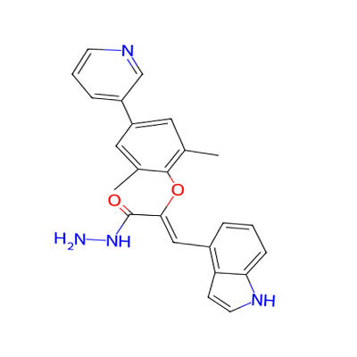 Cc1cc(-c2cccnc2)cc(C)c1O/C(=C\c1cccc2[nH]ccc12)C(=O)NN